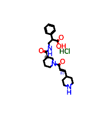 Cl.O=C(O)C(CNC(=O)[C@@H]1CCCN(C(=O)/C=C/C2CCNCC2)C1)c1ccccc1